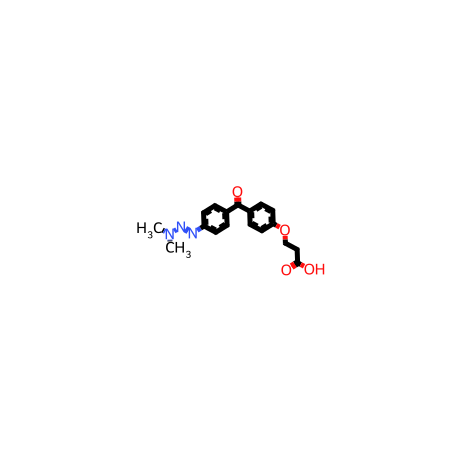 CN(C)N=Nc1ccc(C(=O)c2ccc(OCCC(=O)O)cc2)cc1